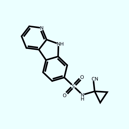 N#CC1(NS(=O)(=O)c2ccc3c(c2)[nH]c2ncccc23)CC1